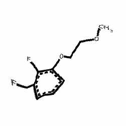 COCCOc1cccc(F)c1F